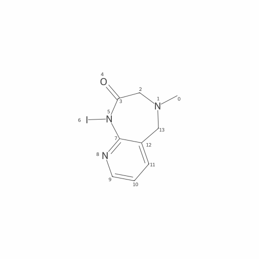 CN1CC(=O)N(I)c2ncccc2C1